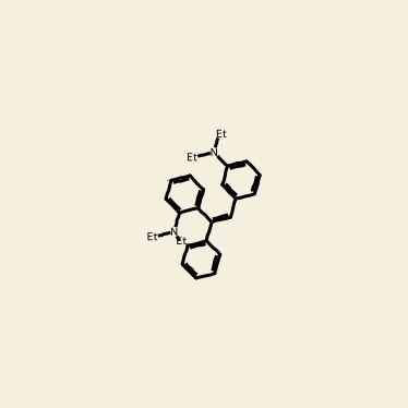 CCN(CC)c1cccc(C=C(c2ccccc2)c2cc[c]cc2N(CC)CC)c1